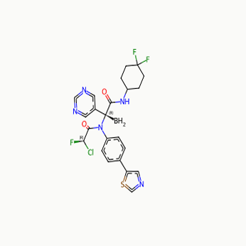 B[C@](C(=O)NC1CCC(F)(F)CC1)(c1cncnc1)N(C(=O)[C@H](F)Cl)c1ccc(-c2cncs2)cc1